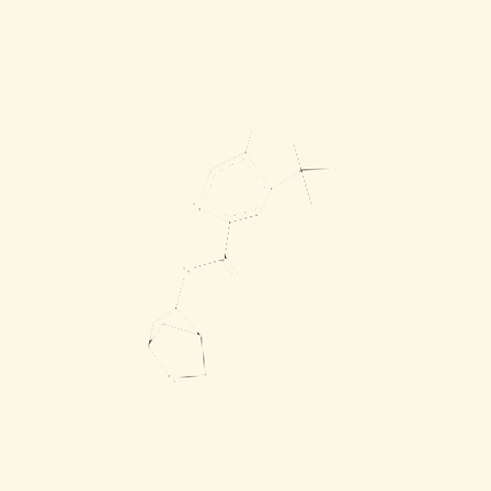 O=C(NC1CC2CC1CN2)c1cc(C(F)(F)F)c(F)cn1